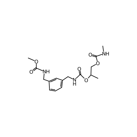 CNC(=O)OCC(C)OC(=O)NCc1cccc(CNC(=O)OC)c1